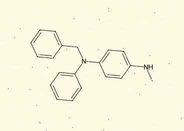 CNc1ccc(N(Cc2ccccc2)c2ccccc2)cc1